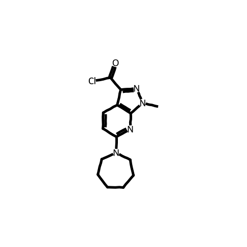 Cn1nc(C(=O)Cl)c2ccc(N3CCCCCC3)nc21